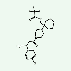 CC(CC(=O)N1CCN(C2(CNC(=O)C(F)(F)F)CCCCC2)CC1)c1ccc(Cl)cc1